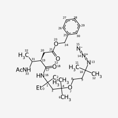 CCC(C)(CC(C)(C)OCCC(C)(C)N=[N+]=[N-])NC(=O)[C@H](CC(=O)OCc1ccccc1)C(C)NC(C)=O